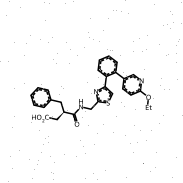 CCOc1ccc(-c2ccccc2-c2csc(CNC(=O)[C@@H](CC(=O)O)Cc3ccccc3)n2)cn1